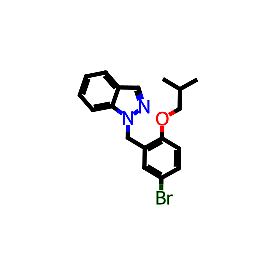 CC(C)COc1ccc(Br)cc1Cn1ncc2ccccc21